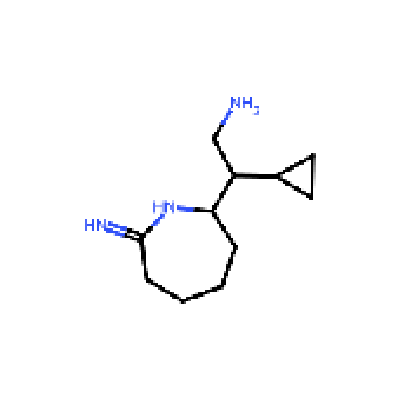 N=C1CCCCC(C(CN)C2CC2)N1